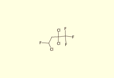 FC(Cl)CC(Cl)(Cl)C(F)(F)F